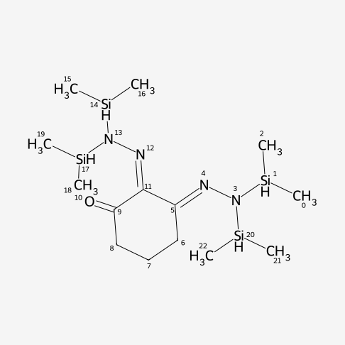 C[SiH](C)N(N=C1CCCC(=O)C1=NN([SiH](C)C)[SiH](C)C)[SiH](C)C